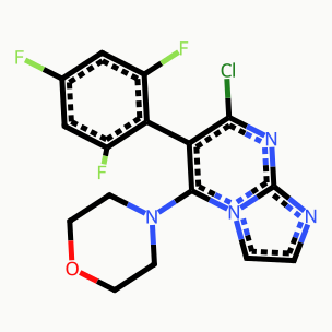 Fc1cc(F)c(-c2c(Cl)nc3nccn3c2N2CCOCC2)c(F)c1